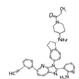 C#Cc1cccc(-c2ccc3nc(-c4cccnc4N)n(-c4ccc5c(c4)CC[C@@H]5NC4CCN(C(=O)C=C)CC4)c3n2)c1